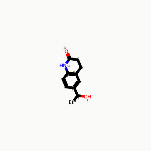 CCC(O)c1ccc2c(c1)CCC(=O)N2